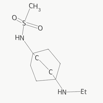 CCNC12CCC(NS(C)(=O)=O)(CC1)CC2